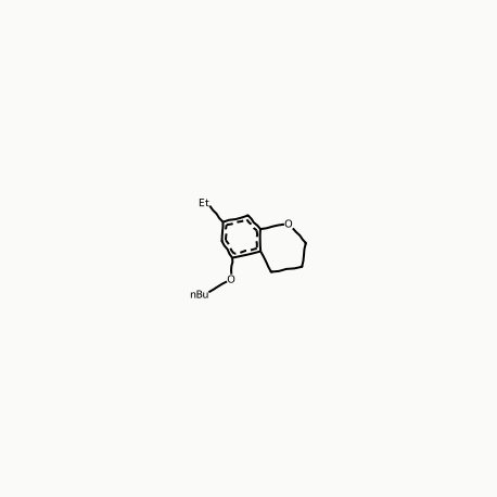 CCCCOc1cc(CC)cc2c1CCCO2